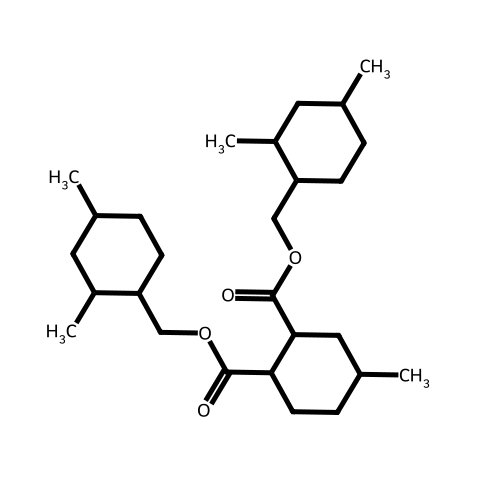 CC1CCC(COC(=O)C2CCC(C)CC2C(=O)OCC2CCC(C)CC2C)C(C)C1